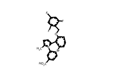 Cc1ccc(-c2c(Br)cccc2OCc2c(F)cc(F)cc2F)n1-c1cccc(C(=O)O)c1